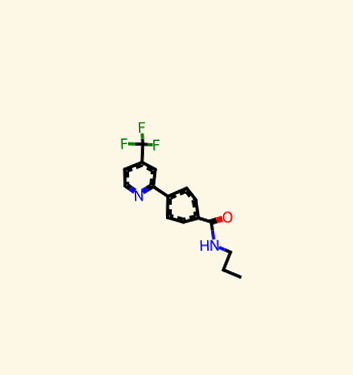 CCCNC(=O)c1ccc(-c2cc(C(F)(F)F)ccn2)cc1